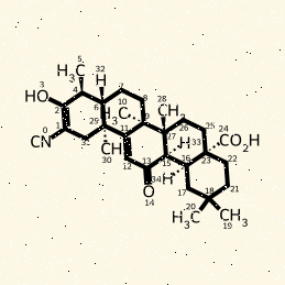 [C-]#[N+]C1=C(O)[C@@H](C)[C@@H]2CC[C@]3(C)C(=CC(=O)[C@@H]4[C@@H]5CC(C)(C)CC[C@]5(C(=O)O)CC[C@]43C)[C@@]2(C)C1